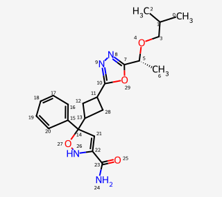 CC(C)CO[C@H](C)c1nnc(C2CC(C3(c4ccccc4)C=C(C(N)=O)NO3)C2)o1